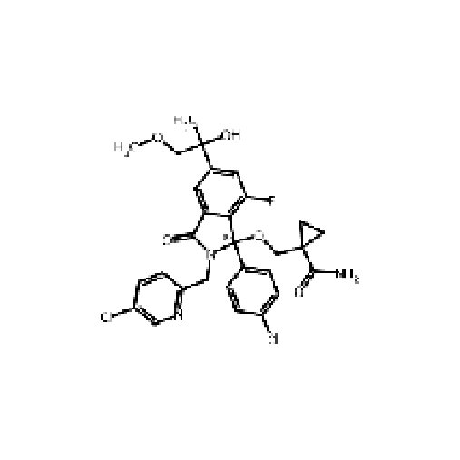 COCC(C)(O)c1cc(F)c2c(c1)C(=O)N(Cc1ccc(Cl)cn1)[C@@]2(OCC1(C(N)=O)CC1)c1ccc(Cl)cc1